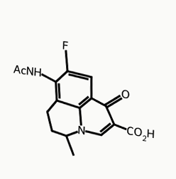 CC(=O)Nc1c(F)cc2c(=O)c(C(=O)O)cn3c2c1CCC3C